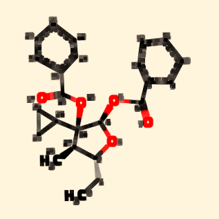 CC[C@H]1O[C@H](OC(=O)c2ccccc2)[C@@](OC(=O)c2ccccc2)(C2CC2)[C@@H]1C